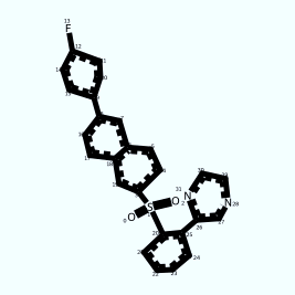 O=S(=O)(c1ccc2cc(-c3ccc(F)cc3)ccc2c1)c1ccccc1-c1cnccn1